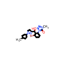 Cc1ccc(-n2ccc(C(O)c3c(Br)cccc3-n3nnn(C)c3=O)n2)cc1